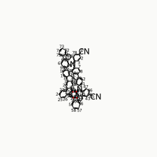 N#Cc1ccc(N(c2ccc3c(c2)C2(c4ccccc4-c4cc5c6ccccc6c6ccccc6c5cc42)c2cc(N(c4ccc(C#N)cc4)c4cccc5c4oc4ccccc45)ccc2-3)c2cccc3c2oc2ccccc23)cc1